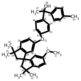 COc1ccc2c(c1)C1(CC2(C)C)CC(C)(C)c2ccc(Oc3ccc(C(C)(O)c4ccc(C)cc4)cc3)cc21